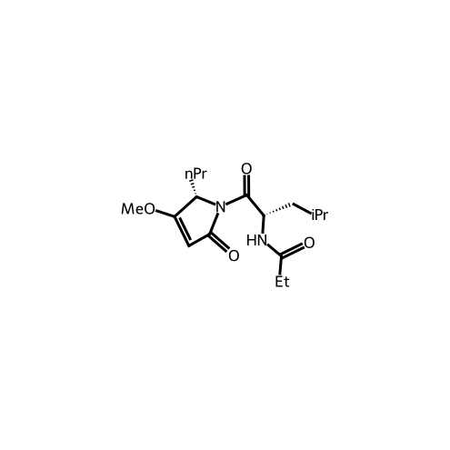 CCC[C@H]1C(OC)=CC(=O)N1C(=O)[C@H](CC(C)C)NC(=O)CC